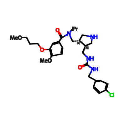 COCCCOc1cc(C(=O)N(C[C@@H]2CNC[C@H]2CNC(=O)NCc2ccc(Cl)cc2)C(C)C)ccc1OC